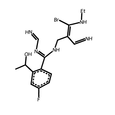 CCN/C(Br)=C(\C=N)CN/C(=N\C=N)c1ccc(F)cc1C(C)O